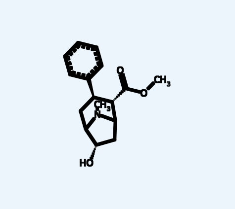 COC(=O)[C@@H]1C2C[C@H](O)C(C[C@H]1c1ccccc1)N2C